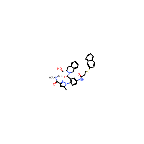 CCCCN(CCCC)C(=O)c1cc(C)n(-c2ccc(NC(=O)CCSc3ccc4ccccc4c3)cc2C(=O)N2Cc3ccccc3C[C@H]2CO)n1